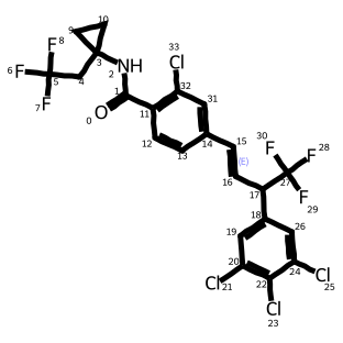 O=C(NC1(CC(F)(F)F)CC1)c1ccc(/C=C/C(c2cc(Cl)c(Cl)c(Cl)c2)C(F)(F)F)cc1Cl